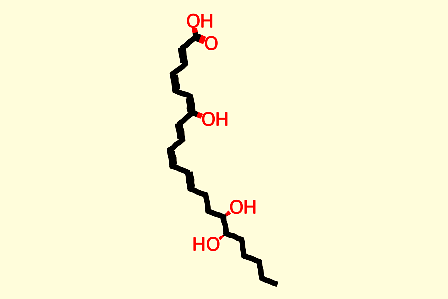 CCCCC[C@H](O)[C@H](O)CC/C=C/C=C\C=C\C(O)=C/C=C\C=C\C(=O)O